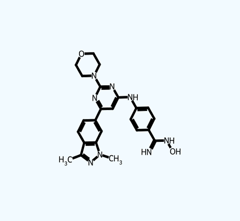 Cc1nn(C)c2cc(-c3cc(Nc4ccc(C(=N)NO)cc4)nc(N4CCOCC4)n3)ccc12